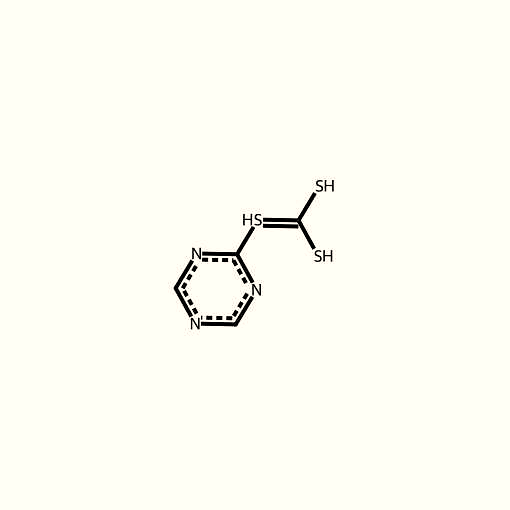 SC(S)=[SH]c1ncncn1